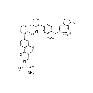 COc1nc(-c2cccc(-c3cccc(-c4ccn5c(=O)c(CNC(C)C(N)=O)cnc5c4)c3Cl)c2Cl)ccc1CN(C[C@@H]1CCC(=O)N1)C(=O)O